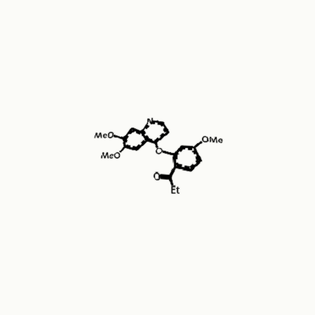 CCC(=O)c1ccc(OC)cc1Oc1ccnc2cc(OC)c(OC)cc12